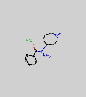 CN1CCCC(N(N)C(=O)c2ccccc2)CC1.Cl